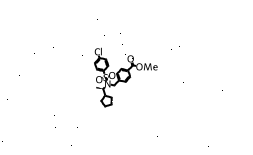 COC(=O)c1ccc(CN([C@H](C)C2CCCC2)S(=O)(=O)c2ccc(Cl)cc2)cc1